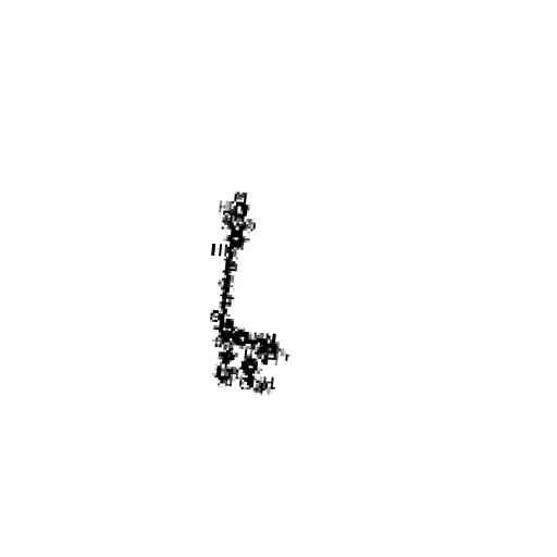 Cc1cc(F)c(Nc2nc(-c3ccc4c(c3)N([C@H]3C[C@@H](N5CCCCC5)C3)C(=O)C43CCN(C(=O)CCOCCOCCOCCNc4ccc5c(c4)C(=O)N(C4CCC(=O)NC4=O)C5=O)CC3)cc3ncn(C(C)C)c23)cc1C(=O)NC(C)C